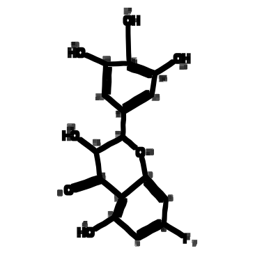 O=C1c2c(O)cc(F)cc2OC(c2cc(O)c(O)c(O)c2)C1O